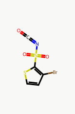 O=C=NS(=O)(=O)c1sccc1Br